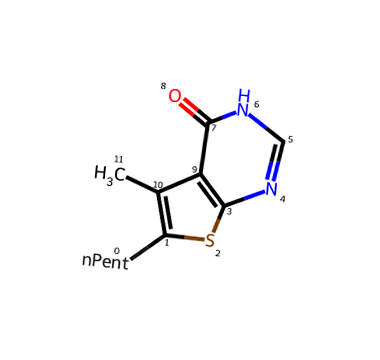 CCCCCc1sc2nc[nH]c(=O)c2c1C